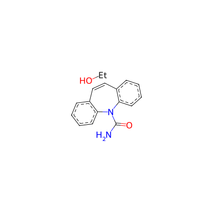 CCO.NC(=O)N1c2ccccc2C=Cc2ccccc21